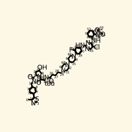 Cc1ncsc1-c1ccc(CNC(=O)[C@H]2C[C@@H](O)CN2C(=O)C(NC(=O)CCCCN2CCN(C3CCN(c4ccc(Nc5ncc(Cl)c(Nc6ccccc6N(C)S(C)(=O)=O)n5)cc4F)CC3)CC2)C(C)(C)C)cc1